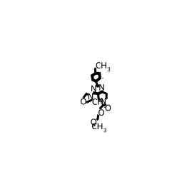 CCc1c[c]c(-c2nc3c(c(N4CCOCC4C)n2)CN(C(=O)COCCOC)CC3)cc1